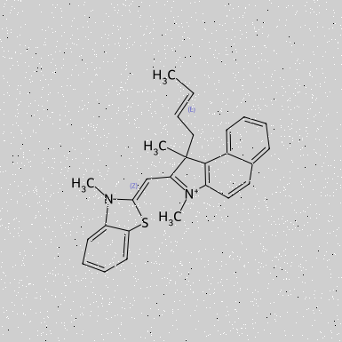 C/C=C/CC1(C)C(/C=C2\Sc3ccccc3N2C)=[N+](C)c2ccc3ccccc3c21